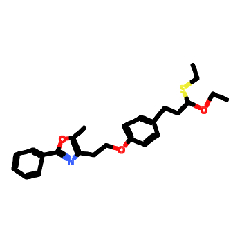 CCOC(CCc1ccc(OCCc2nc(-c3ccccc3)oc2C)cc1)SCC